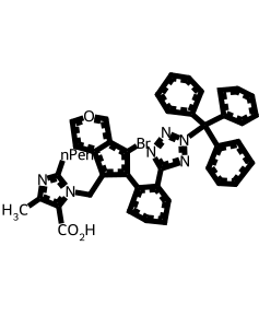 CCCCCc1nc(C)c(C(=O)O)n1Cc1c2ccocc-2c(Br)c1-c1ccccc1-c1nnn(C(c2ccccc2)(c2ccccc2)c2ccccc2)n1